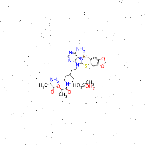 CS(=O)(=O)O.C[C@H](N)C(=O)O[C@@H](C)C(=O)N1CCC(CCn2c(Sc3cc4c(cc3Br)OCO4)nc3c(N)ncnc32)CC1.O